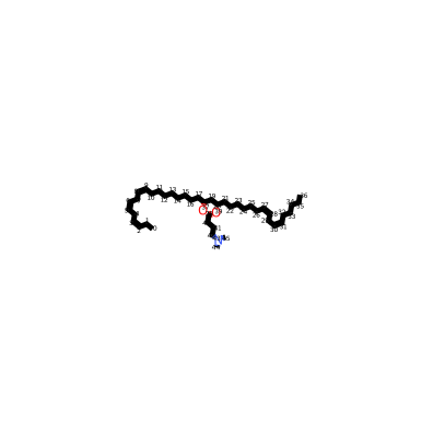 CC/C=C\C/C=C\C/C=C\CCCCCCCCC(CCCCCCCC/C=C\C/C=C\CCCCC)OC(=O)CCCN(C)C